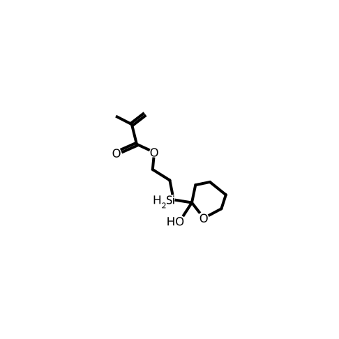 C=C(C)C(=O)OCC[SiH2]C1(O)CCCCO1